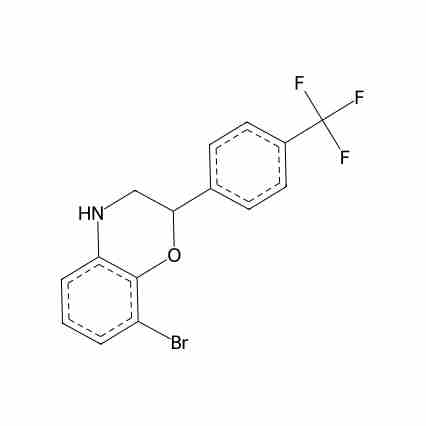 FC(F)(F)c1ccc(C2CNc3cccc(Br)c3O2)cc1